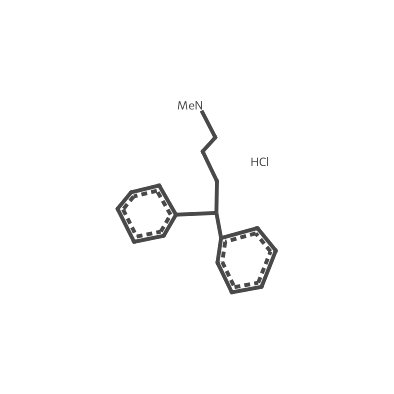 CNCCCC(c1ccccc1)c1ccccc1.Cl